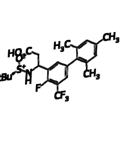 Cc1cc(C)c(-c2cc(C(CC(=O)O)N[S@+]([O-])C(C)(C)C)c(F)c(C(F)(F)F)c2)c(C)c1